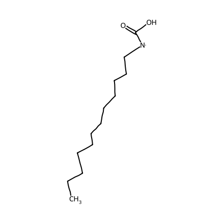 CCCCCCCCCCCC[N]C(=O)O